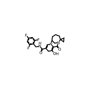 O=C(NCc1c(F)cc(F)cc1F)C1=CN2C(=C(O)C1)C(=O)N1CC2CCCC12CC2